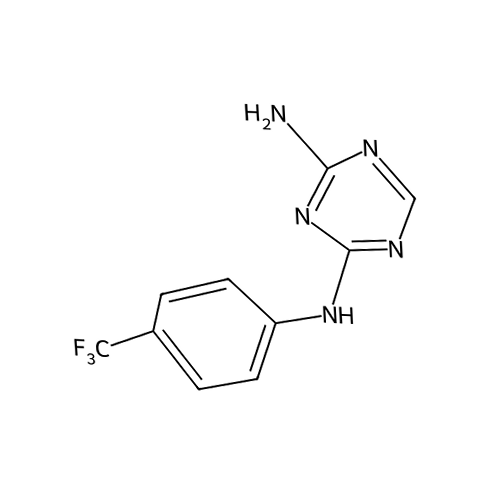 Nc1ncnc(Nc2ccc(C(F)(F)F)cc2)n1